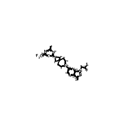 Cc1nc(N2CC3(CCN(c4cnc5c(C)nn(CC(F)F)c5n4)CC3)C2)cc(C(F)(F)F)n1